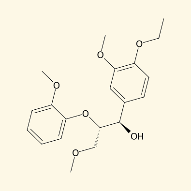 CCOc1ccc([C@@H](O)[C@H](COC)Oc2ccccc2OC)cc1OC